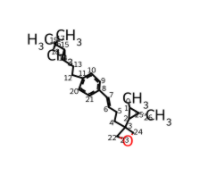 CC1C(C2(CC/C=C/c3ccc(CCCCC(C)(C)C)cc3)COC2)[C@H]1C